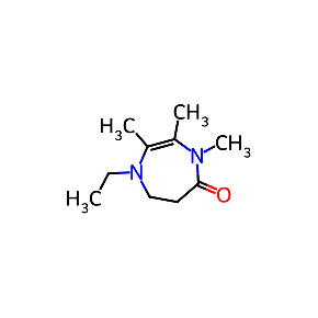 CCN1CCC(=O)N(C)C(C)=C1C